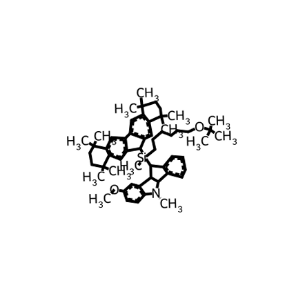 COc1ccc2c(c1)C1C(c3ccccc3C1[Si](C)(CCCCCCOC(C)(C)C)C1c3cc4c(cc3-c3cc5c(cc31)C(C)(C)CCC5(C)C)C(C)(C)CCC4(C)C)N2C